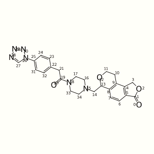 O=C1OCc2c1ccc1c2CCOC1CN1CCN(C(=O)Cc2ccc(-n3cnnn3)cc2)CC1